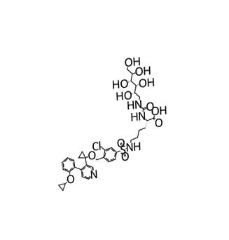 O=C(NC[C@H](O)[C@@H](O)[C@H](O)[C@H](O)CO)N[C@@H](CCCCNS(=O)(=O)c1ccc(COC2(c3cnccc3-c3ccccc3OC3CC3)CC2)c(Cl)c1)C(=O)O